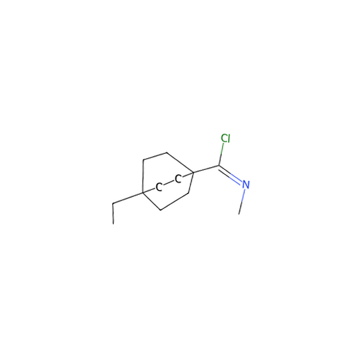 CCC12CCC(/C(Cl)=N\C)(CC1)CC2